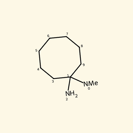 CNC1(N)CCCCCCC1